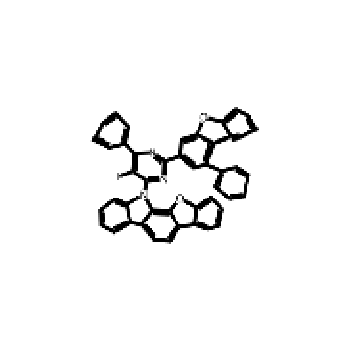 Ic1c(-c2ccccc2)nc(-c2cc(-c3ccccc3)c3c(c2)oc2ccccc23)nc1-n1c2ccccc2c2ccc3c4ccccc4oc3c21